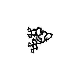 COc1cc2c(cc1OC)CCN(CC1CCCCN(CC(O)Cc3cccc4c(OC)c(OC)ccc34)C1)CC2